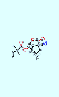 CCC(C)(C)C(=O)OC1C2OC(=O)C3(C#N)C[C@@H]1CC23